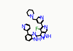 Fc1c(-c2cncc(CN3CCCCC3)c2)ncc2[nH]nc(-c3nc4c(-c5cccnc5)cccc4[nH]3)c12